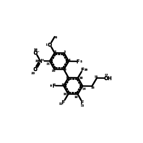 COc1cc(F)c(-c2c(F)c(F)c(F)c(CCO)c2F)cc1[N+](=O)[O-]